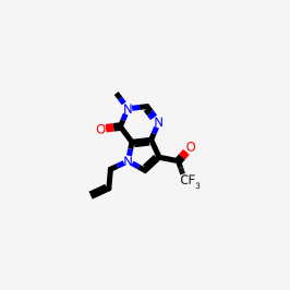 C=CCn1cc(C(=O)C(F)(F)F)c2ncn(C)c(=O)c21